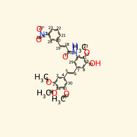 COc1cc(C=Cc2cc(O)c(OC)c(NC(=O)/C=C/c3cccc([N+](=O)[O-])c3)c2)cc(OC)c1OC